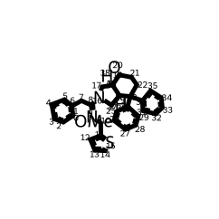 COc1ccccc1CC(=NCc1cccs1)N1C[C@@H]2C(=O)CCC(c3ccccc3)(c3ccccc3)[C@@H]2C1